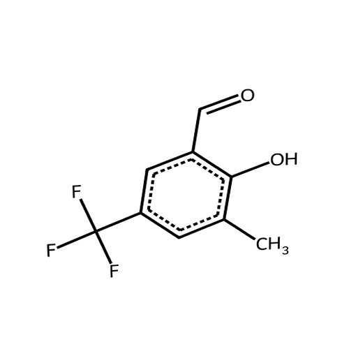 Cc1cc(C(F)(F)F)cc(C=O)c1O